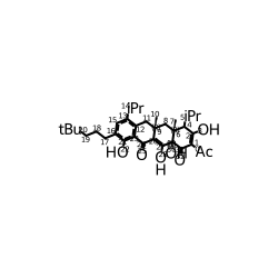 CC(=O)C1=C(O)C(C(C)C)[C@@]2(C)C[C@@]3(C)Cc4c(C(C)C)cc(CCCC(C)(C)C)c(O)c4C(=O)C3=C(O)[C@@]2(O)C1=O